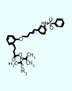 CC(C)N(OC(=O)CCc1ccccc1OCCC/C=C/c1cccc(NS(=O)(=O)c2ccccc2)c1)C(C)C